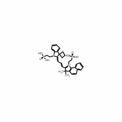 CC1(C)C(/C=C/C=C2/N(CCP(=O)(O)O)c3ccccc3C23CCC3)=[N+](CCP(=O)(O)O)c2c1ccc1ccccc21